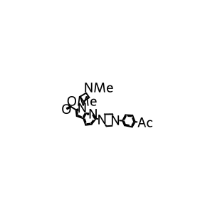 CNC1CC(n2c(C(=O)OC)cc3ccc(N4CCN(c5ccc(C(C)=O)cc5)CC4)nc32)C1